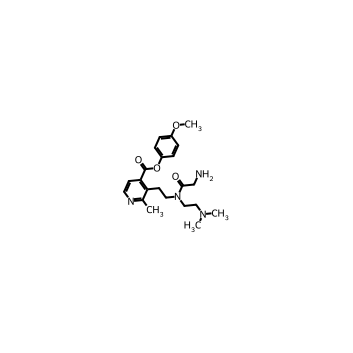 COc1ccc(OC(=O)c2ccnc(C)c2CCN(CCN(C)C)C(=O)CN)cc1